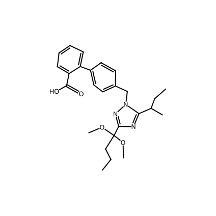 CCCC(OC)(OC)c1nc(C(C)CC)n(Cc2ccc(-c3ccccc3C(=O)O)cc2)n1